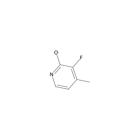 Cc1ccnc([O])c1F